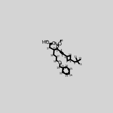 CO/N=C(\C#CC1CC(CC(C)(C)C)C1)C(CCCOCc1ccccc1)CC(=O)O